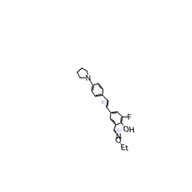 CCO/N=C/c1cc(/C=C/c2ccc(N3CCCC3)cc2)cc(F)c1O